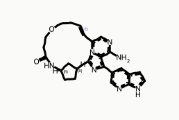 Nc1ncc2n3c(nc(-c4cnc5[nH]ccc5c4)c13)[C@@H]1CC[C@H](C1)NC(=O)CCOCC/C=C/2